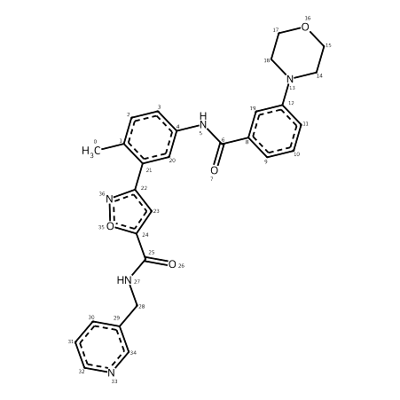 Cc1ccc(NC(=O)c2cccc(N3CCOCC3)c2)cc1-c1cc(C(=O)NCc2cccnc2)on1